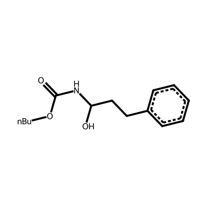 CCCCOC(=O)NC(O)CCc1ccccc1